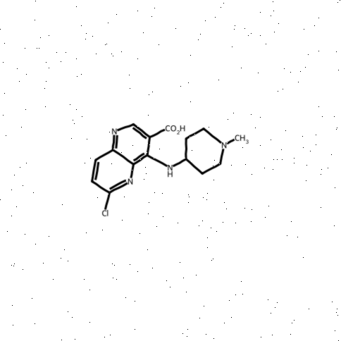 CN1CCC(Nc2c(C(=O)O)cnc3ccc(Cl)nc23)CC1